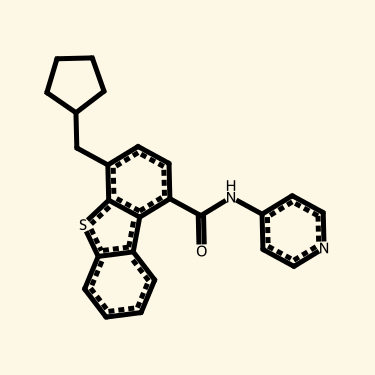 O=C(Nc1ccncc1)c1ccc(CC2CCCC2)c2sc3ccccc3c12